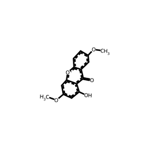 COc1cc(O)c2c(=O)c3cc(OC)ccc3oc2c1